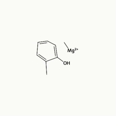 Cc1ccccc1O.[CH3][Mg+2]